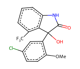 COc1ccc(Cl)cc1C1(O)C(=O)Nc2cccc(C(F)(F)F)c21